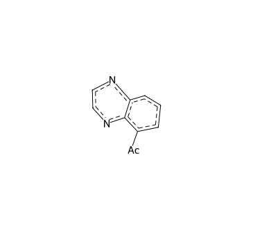 CC(=O)c1cccc2nccnc12